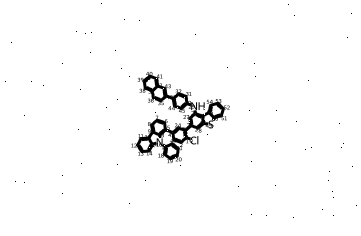 Clc1ccc(-c2cccc3c4ccccc4n(-c4ccccc4)c23)cc1-c1cc(Nc2ccc(-c3ccc4ccccc4c3)cc2)c2c(c1)sc1ccccc12